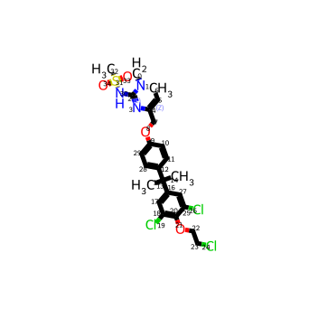 C=N/C(=N\C(=C/C)COc1ccc(C(C)(C)c2cc(Cl)c(OCCCl)c(Cl)c2)cc1)NS(C)(=O)=O